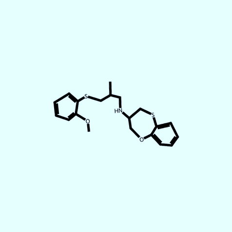 COc1ccccc1SCC(C)CNC1COc2ccccc2SC1